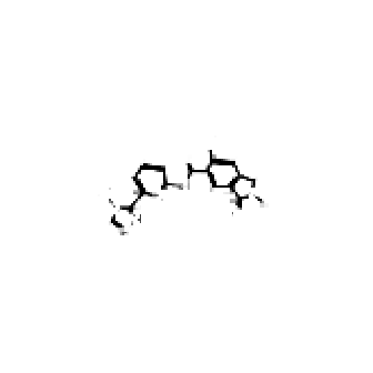 CC(C)N1Cc2cc(F)c(C(=O)Nc3cccc(-c4nncn4C(C)C)n3)cc2C1=O